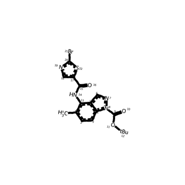 Cc1ccc2c(cnn2C(=O)OC(C)(C)C)c1NC(=O)c1cnc(Br)s1